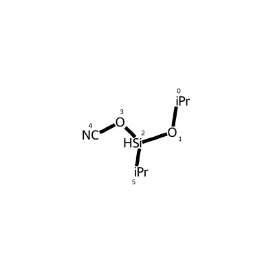 CC(C)O[SiH](OC#N)C(C)C